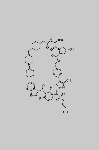 Cc1ncsc1-c1ccc(CNC(=O)[C@@H]2C[C@@H](O)CN2C(=O)C(NC(=O)CN2CCC(CN3CCN(c4ccc(-c5cnc6[nH]cc(C(=O)c7c(F)ccc(NS(=O)(=O)CCCO)c7F)c6c5)cc4)CC3)CC2)C(C)(C)C)cc1